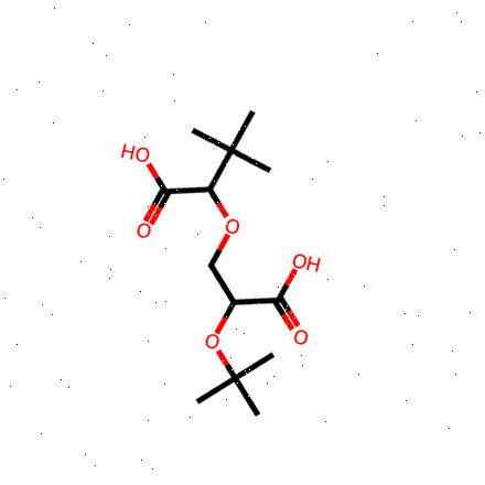 CC(C)(C)OC(COC(C(=O)O)C(C)(C)C)C(=O)O